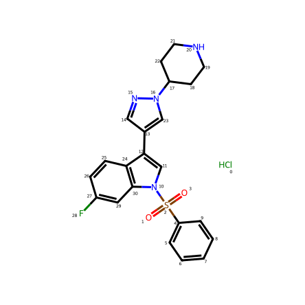 Cl.O=S(=O)(c1ccccc1)n1cc(-c2cnn(C3CCNCC3)c2)c2ccc(F)cc21